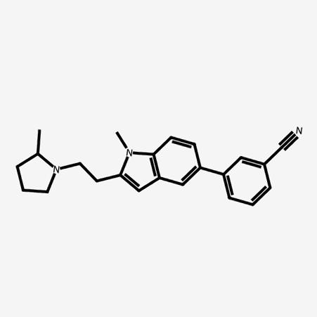 CC1CCCN1CCc1cc2cc(-c3cccc(C#N)c3)ccc2n1C